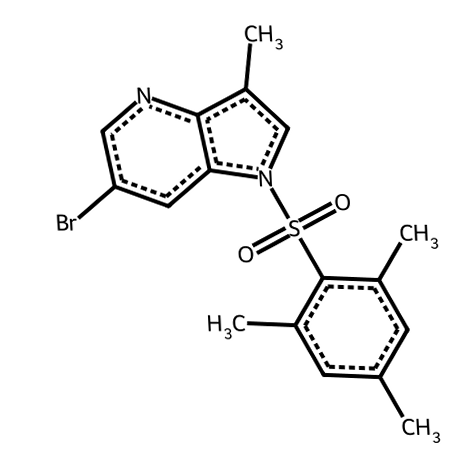 Cc1cc(C)c(S(=O)(=O)n2cc(C)c3ncc(Br)cc32)c(C)c1